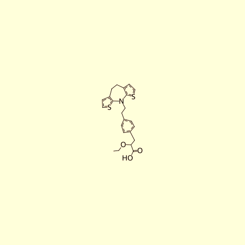 CCOC(Cc1ccc(CCN2c3sccc3CCc3ccsc32)cc1)C(=O)O